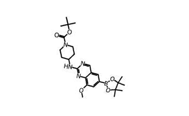 COc1cc(B2OC(C)(C)C(C)(C)O2)cc2cnc(NC3CCN(C(=O)OC(C)(C)C)CC3)nc12